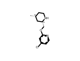 C[C@@H]1CCN[C@H](COc2cc(Cl)ccn2)C1